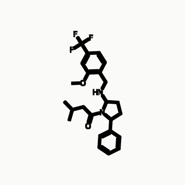 COc1cc(C(F)(F)F)ccc1CNC1CCC(c2ccccc2)N1C(=O)CC(C)C